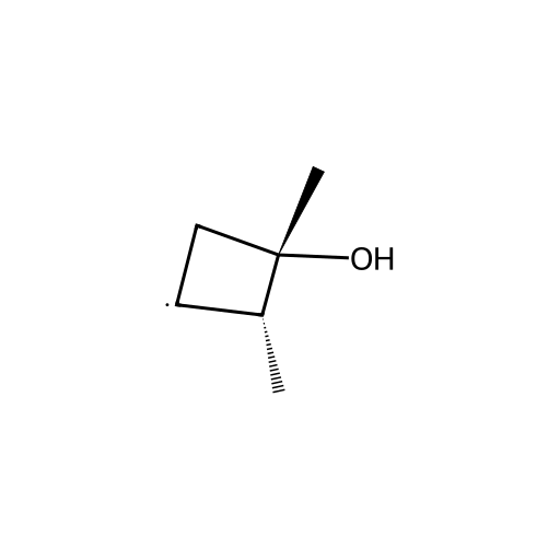 C[C@@H]1[CH]C[C@]1(C)O